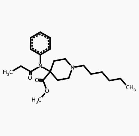 CCCCCCN1CCC(C(=O)OC)(N(C(=O)CC)c2ccccc2)CC1